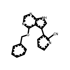 N#Cc1ncccc1-c1c[nH]c2ncnc(OCc3ccccc3)c12